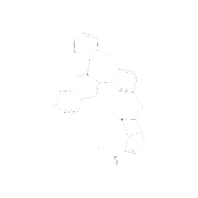 O=C(O)C1=CS[C@@H]2C(=Cc3ccc4c(c3)N(Cc3ccccc3)C(=O)C3=C(C=CCC3=O)O4)C(=O)N12